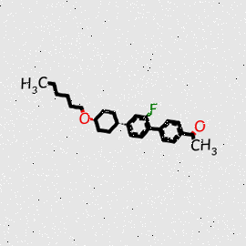 CCCCCCO[C@H]1CC[C@H](c2ccc(-c3ccc(C(C)=O)cc3)c(F)c2)CC1